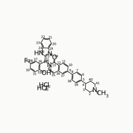 CN1CCC(c2ccc(-c3ccc4c(=O)n([C@@H](c5nc6ccccc6[nH]5)c5cc(F)ccc5O)ccc4c3)cc2)CC1.Cl.Cl